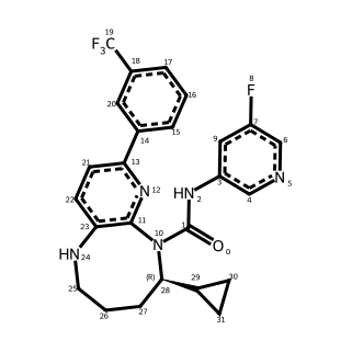 O=C(Nc1cncc(F)c1)N1c2nc(-c3cccc(C(F)(F)F)c3)ccc2NCCC[C@@H]1C1CC1